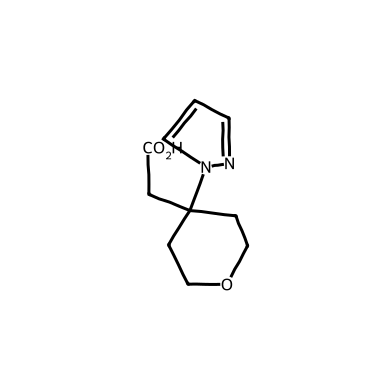 O=C(O)CC1(n2cccn2)CCOCC1